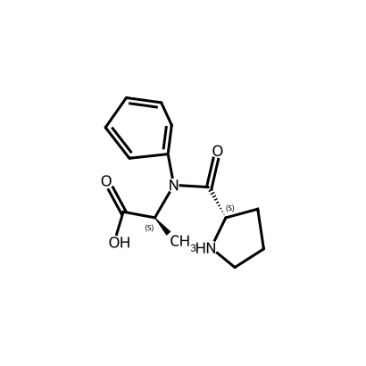 C[C@@H](C(=O)O)N(C(=O)[C@@H]1CCCN1)c1ccccc1